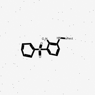 CCCCCNc1cccc(S(=O)(=O)c2ccccc2)c1[N+](=O)[O-]